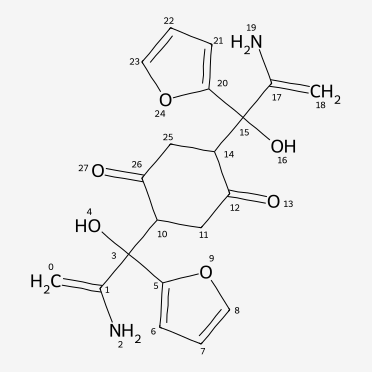 C=C(N)C(O)(c1ccco1)C1CC(=O)C(C(O)(C(=C)N)c2ccco2)CC1=O